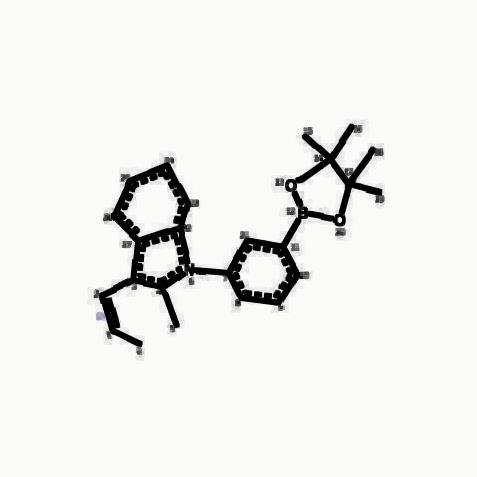 C/C=C\c1c(C)n(-c2cccc(B3OC(C)(C)C(C)(C)O3)c2)c2ccccc12